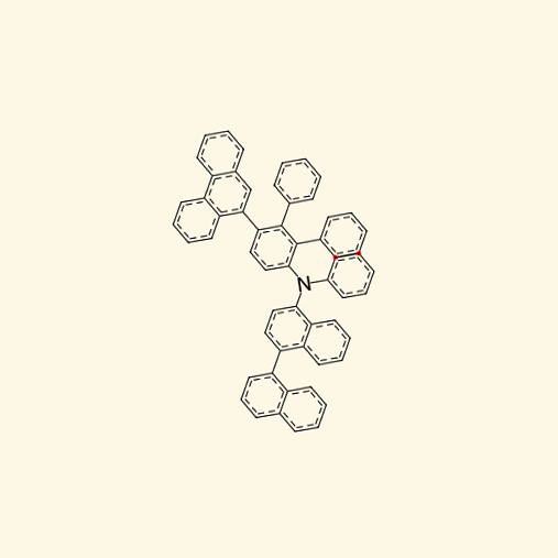 c1ccc(-c2c(-c3cc4ccccc4c4ccccc34)ccc(N(c3ccccc3)c3ccc(-c4cccc5ccccc45)c4ccccc34)c2-c2ccccc2)cc1